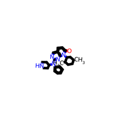 CC1CCC(C)C(n2c(=O)ccc3cnc(N(c4ccccc4)C4CCNCC4)nc32)C1